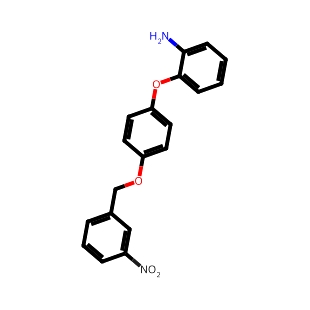 Nc1ccccc1Oc1ccc(OCc2cccc([N+](=O)[O-])c2)cc1